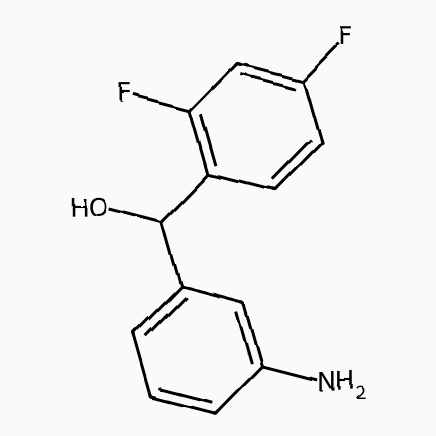 Nc1cccc(C(O)c2ccc(F)cc2F)c1